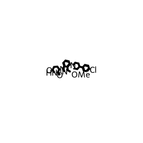 COc1cc(C2CCN(c3cccc4c3c(C)nn4C3CCC(=O)NC3=O)CC2)ccc1Cl